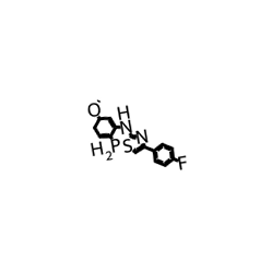 COC1C=C(Nc2nc(-c3ccc(F)cc3)cs2)C(P)=CC1